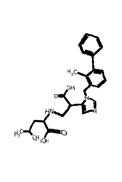 Cc1c(Cn2cncc2C(CNC(CC(C)C)C(=O)O)C(=O)O)cccc1-c1ccccc1